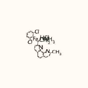 C=[C]([Fe][c]1c(Cl)cccc1Cl)c1ccc2ccc3ccc(C)nc3c2n1.Cl.N